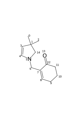 CC1(C)C=CN(CC2=CCCCC2=O)C1